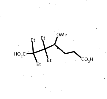 CCC(CC)(C(=O)O)C(CC)(CC)C(CCC(=O)O)OC